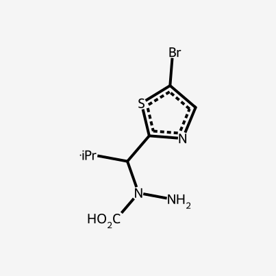 C[C](C)C(c1ncc(Br)s1)N(N)C(=O)O